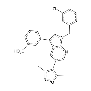 Cc1noc(C)c1-c1cnc2c(c1)c(-c1cccc(C(=O)O)c1)cn2Cc1cccc(Cl)c1